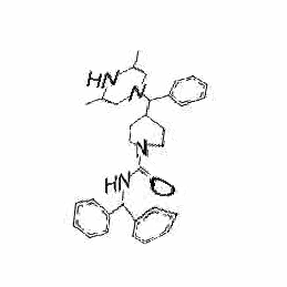 CC1CN(C(c2ccccc2)C2CCN(C(=O)NC(c3ccccc3)c3ccccc3)CC2)CC(C)N1